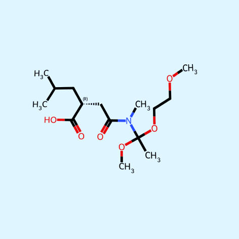 COCCOC(C)(OC)N(C)C(=O)C[C@@H](CC(C)C)C(=O)O